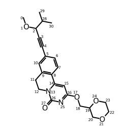 COC(C#Cc1ccc2c(c1)CCn1c-2cc(OCC2COCCO2)nc1=O)C(C)C